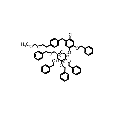 COCOCCc1ccc(Cc2cc(O[C@H]3O[C@H](COCc4ccccc4)[C@@H](OCc4ccccc4)[C@H](OCc4ccccc4)[C@H]3OCc3ccccc3)c(OCc3ccccc3)cc2Cl)cc1